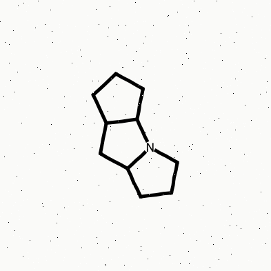 C1CC2CC3CCCN3C2C1